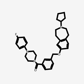 O=C(c1cccc(COc2ccc3c(c2)CCN(C2CCCC2)CC3)c1)N1CCN(c2ccc(F)cc2)CC1